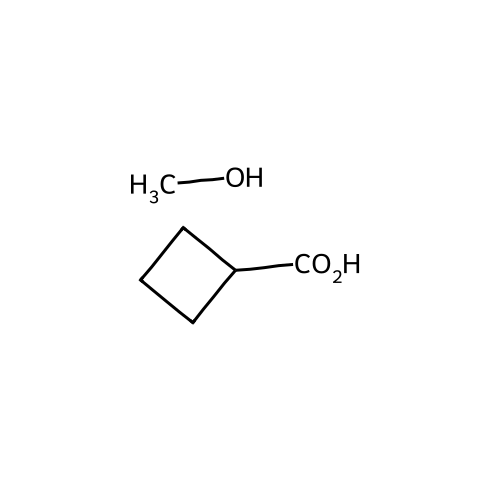 CO.O=C(O)C1CCC1